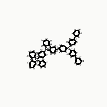 c1ccc(-c2ccc(N(c3ccc(-c4ccccc4)cc3)c3ccc(-c4ccc5c(c4)c4ccccc4n5-c4ccc([Si](c5ccccc5)(c5ccccc5)c5ccccc5)cc4)cc3)cc2)cc1